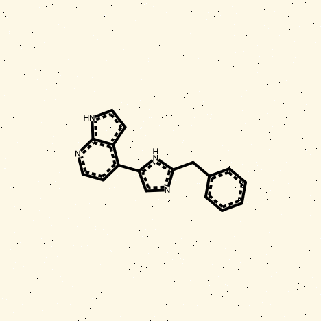 c1ccc(Cc2ncc(-c3ccnc4[nH]ccc34)[nH]2)cc1